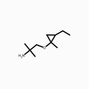 CCC1CC1(C)OCC(C)(C)N